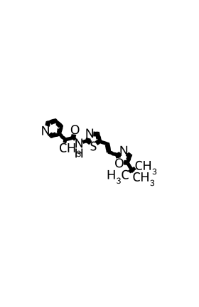 CC(C(=O)Nc1ncc(C=Cc2ncc(C(C)(C)C)o2)s1)c1cccnc1